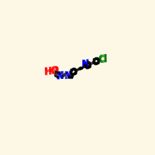 OC1CCN(CCn2ccc3cc(C#Cc4ccc(-c5ccc(Cl)cc5)cn4)ccc32)C1